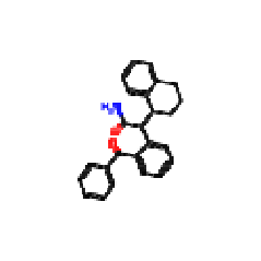 NC(=O)C(c1ccccc1C(=O)c1ccccc1)C1CCCc2ccccc21